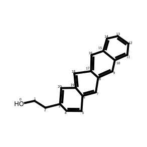 OCCc1ccc2cc3cc4ccccc4cc3cc2c1